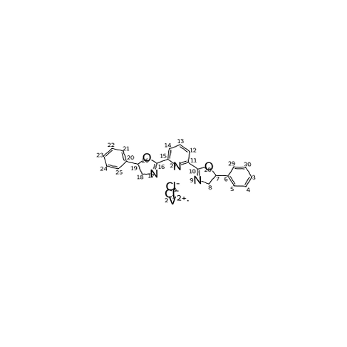 [Cl-].[Cl-].[V+2].c1ccc(C2CN=C(c3cccc(C4=NCC(c5ccccc5)O4)n3)O2)cc1